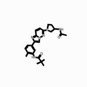 CC(=O)NC1CCN(c2ccc3nc(-c4ccc(C)c(NC(=O)C(C)(C)C)c4)cn3n2)C1